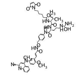 COc1ccc(N(C)c2cc(C#N)nc3ccccc23)cc1/C=C/C(=O)NOCc1ccc(NC(=O)[C@H](CCCNC(N)O)NC(=O)[C@@H](NC(=O)CCCCCN2C(=O)C=CC2=O)C(C)C)cc1